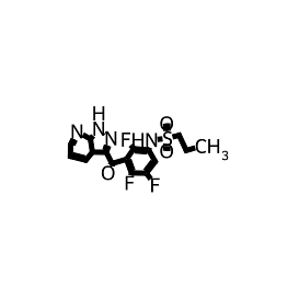 CCCS(=O)(=O)Nc1cc(F)c(F)c(C(=O)C2=NNC3N=CC=CC23)c1F